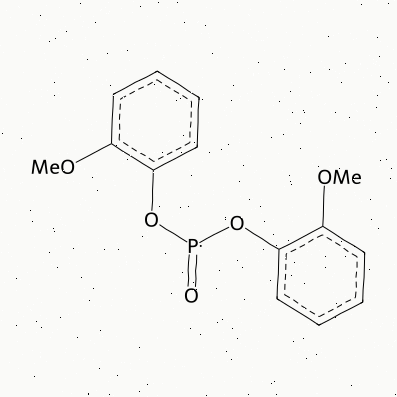 COc1ccccc1O[P](=O)Oc1ccccc1OC